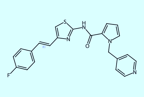 O=C(Nc1nc(/C=C/c2ccc(F)cc2)cs1)c1cccn1Cc1ccncc1